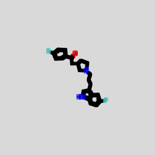 O=C(CC1CCN(CCCc2c[nH]c3ccc(F)cc23)C1)c1ccc(F)cc1